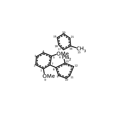 COc1cccc(OC)c1-c1ccccc1P.Cc1ccccc1